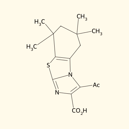 CC(=O)c1c(C(=O)O)nc2sc3c(n12)CC(C)(C)CC3(C)C